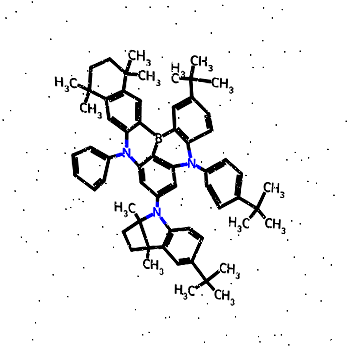 CC(C)(C)c1ccc(N2c3ccc(C(C)(C)C)cc3B3c4cc5c(cc4N(c4ccccc4)c4cc(N6c7ccc(C(C)(C)C)cc7C7(C)CCC67C)cc2c43)C(C)(C)CCC5(C)C)cc1